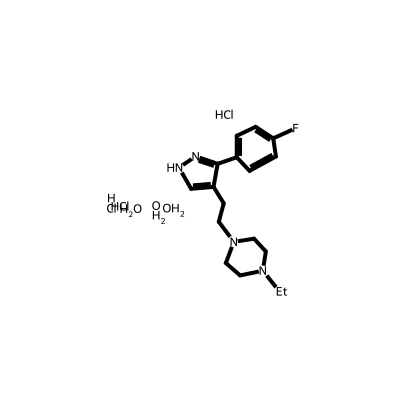 CCN1CCN(CCc2c[nH]nc2-c2ccc(F)cc2)CC1.Cl.Cl.Cl.O.O.O